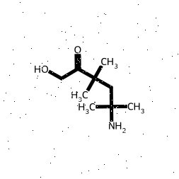 CC(C)(N)CC(C)(C)C(=O)CO